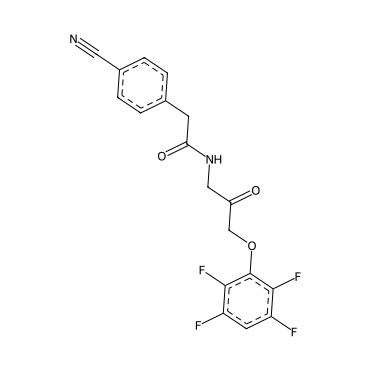 N#Cc1ccc(CC(=O)NCC(=O)COc2c(F)c(F)cc(F)c2F)cc1